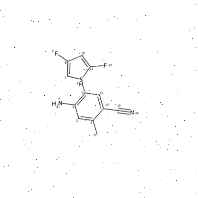 Cc1cc(N)c([SH]2C=C(F)C=C2F)cc1C#N